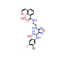 O=C(NCCNc1nonc1C(NO)Nc1ccc(F)c(Br)c1)c1cccc2c1B(O)OC=C2